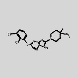 CC1(N)CCN(c2nc3nc(Sc4cccc(Cl)c4Cl)cnc3[nH]2)CC1